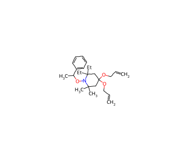 C=CCOC1(OCC=C)CC(C)(C)N(OC(C)c2ccccc2)C(CC)(CC)C1